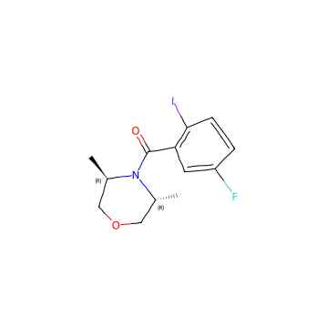 C[C@@H]1COC[C@@H](C)N1C(=O)c1cc(F)ccc1I